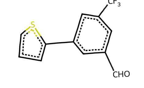 O=Cc1cc(-c2cccs2)cc(C(F)(F)F)c1